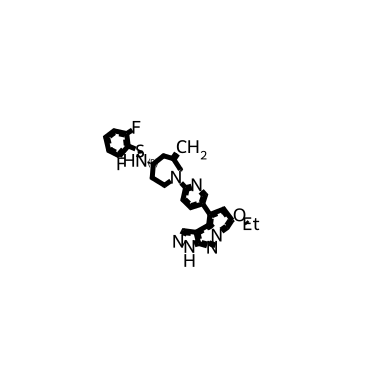 C=C1C[C@@H](NSc2c(F)cccc2F)CCN(c2ccc(-c3cc(OCC)cn4nc5[nH]ncc5c34)cn2)C1